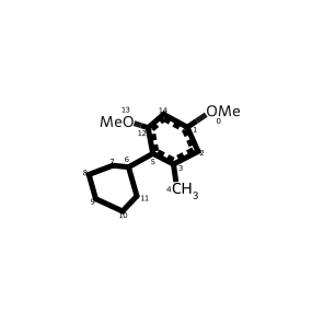 COc1cc(C)c(C2CCCCC2)c(OC)c1